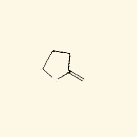 S=C1CCC[N]1